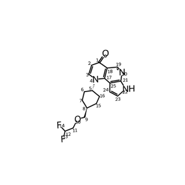 O=c1ccn([C@H]2CC[C@H](COCC(F)F)CC2)c2c1cnc1[nH]ccc12